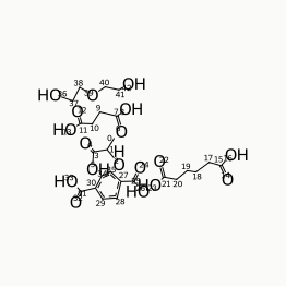 CC(O)C(=O)O.O=C(O)CCC(=O)O.O=C(O)CCCCC(=O)O.O=C(O)c1ccc(C(=O)O)cc1.OCCOCCO